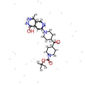 Cc1nnc(O)c2cc(N3CCC(C(=O)C4CCN(C(=O)OC(C)(C)C)CC4)CC3)ncc12